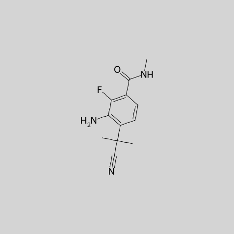 CNC(=O)c1ccc(C(C)(C)C#N)c(N)c1F